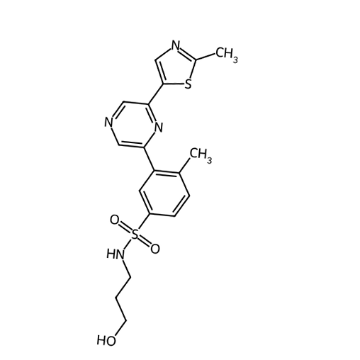 Cc1ncc(-c2cncc(-c3cc(S(=O)(=O)NCCCO)ccc3C)n2)s1